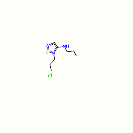 CCCNc1cns[n+]1CCC.[Cl-]